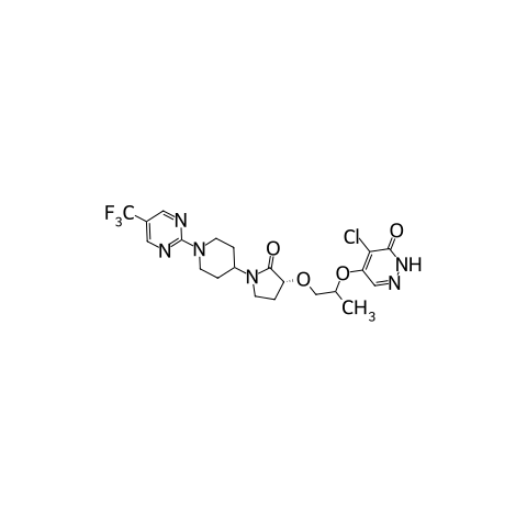 CC(CO[C@@H]1CCN(C2CCN(c3ncc(C(F)(F)F)cn3)CC2)C1=O)Oc1cn[nH]c(=O)c1Cl